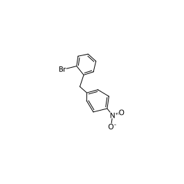 O=[N+]([O-])c1ccc(Cc2ccccc2Br)cc1